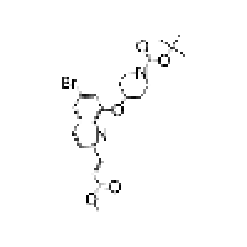 COC(=O)C=Cc1ccc2cc(Br)cc(OC3CCN(C(=O)OC(C)(C)C)CC3)c2n1